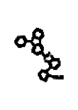 C#Cc1ccccc1-c1cccc2nc(-c3ccc4c(c3)c3ccccc3n4-c3ccccc3)[nH]c12